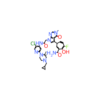 C[C@H]1CN(CC2CC2)CCN1c1cc(NC(=O)Cn2cc(C3C#CC(F)=C(O)C(C(N)=O)=C3)c3c(=O)n(C)cnc32)c(Cl)cn1